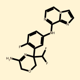 NC1=NC(c2cc(Nc3nccn4ccnc34)ccc2F)(C(F)F)COC1